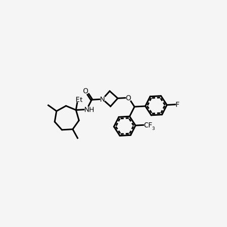 CCC1(NC(=O)N2CC(OC(c3ccc(F)cc3)c3ccccc3C(F)(F)F)C2)CC(C)CCC(C)C1